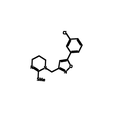 CSC1=NCCCN1Cc1cc(-c2cccc(Cl)c2)on1